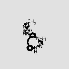 Cn1cnc(S(=O)(=O)Nc2ccc3cc2CCc2cccc(c2)Nc2ncc(Cl)c(n2)N3)c1